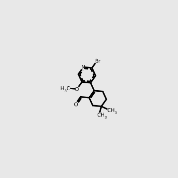 COc1cnc(Br)cc1C1=C(C=O)CC(C)(C)CC1